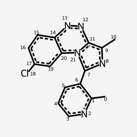 Cc1ncccc1-c1nc(C)c2nnc3ccc(Cl)cc3n12